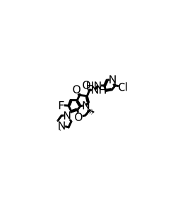 C[C@H]1COc2c(N3CCN(C)CC3)c(F)cc3c(=O)c(C(=O)NNc4ccc(Cl)nc4)cn1c23